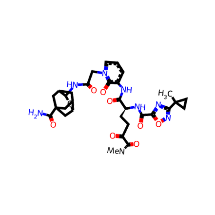 CNC(=O)C(=O)CC[C@H](NC(=O)c1nc(C2(C)CC2)no1)C(=O)Nc1cccn(CC(=O)NC2CC3CC4(C(N)=O)CC3CC2C4)c1=O